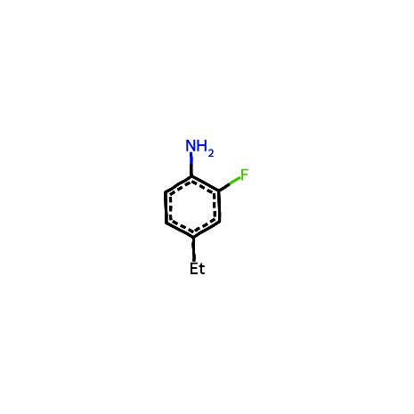 [CH2]Cc1ccc(N)c(F)c1